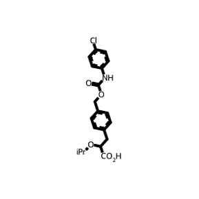 CC(C)OC(Cc1ccc(COC(=O)Nc2ccc(Cl)cc2)cc1)C(=O)O